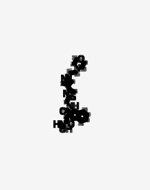 O=C(CC1(C(=O)NCc2nc(-c3cnn(CCN4CCOCC4)c3)cs2)Cc2ccccc2C1)NO